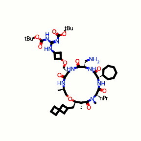 CCC[C@H]1C(=O)N[C@@H](C2CCCCCC2)C(=O)N[C@@H](CN)C(=O)N[C@@H](COC2CC(N/C(=N/C(=O)OC(C)(C)C)NC(=O)OC(C)(C)C)C2)C(=O)N[C@H](C)CO[C@H](CC2CC3(CCC3)C2)[C@@H](C)C(=O)N1C